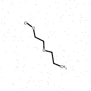 CCCOCCOCl